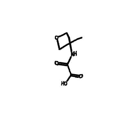 CC1(NC(=O)C(=O)O)COC1